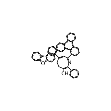 C/C1=C(c2ccccc2)/N=C(c2cccc3c4ccccc4c4ccc(-c5ccc6oc7ccccc7c6c5)cc4c23)\C=C(\c2ccccc2)CC1